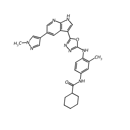 Cc1cc(NC(=O)C2CCCCC2)ccc1Nc1nnc(-c2c[nH]c3ncc(-c4cnn(C)c4)cc23)o1